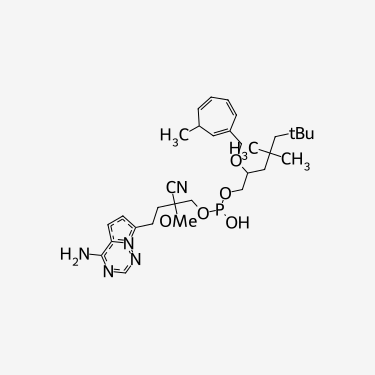 COC(C#N)(CCc1ccc2c(N)ncnn12)COP(O)OCC(CC(C)(C)CC(C)(C)C)OCC1=CC(C)C=CC=C1